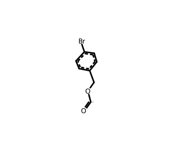 O=[C]OCc1ccc(Br)cc1